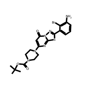 CC(C)(C)OC(=O)N1CCN(c2cc(=O)n3nc(-c4cccc(N)c4Br)sc3n2)CC1